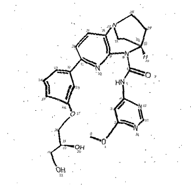 COc1cc(NC(=O)N2c3nc(-c4cccc(OC[C@@H](O)CO)c4)ccc3N3CC[C@H]2C3)ncn1